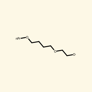 CCCOCCCCOCC[O]